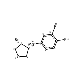 C1CCOC1.Fc1cc[c]([Mg+])cc1F.[Br-]